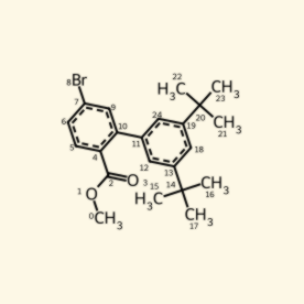 COC(=O)c1ccc(Br)cc1-c1cc(C(C)(C)C)cc(C(C)(C)C)c1